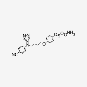 N#Cc1ccc(N(CCCCOc2ccc(OSOON)cc2)n2cnnc2)cc1